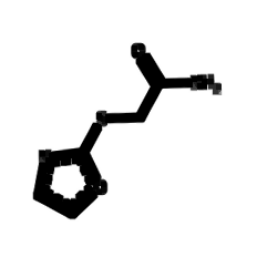 NC(=O)CSc1ncco1